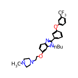 CCCCn1c(-c2cccc(Oc3cccc(C(F)(F)F)c3)c2)nc2ccc(OCCN3CCN(C)CC3)cc21